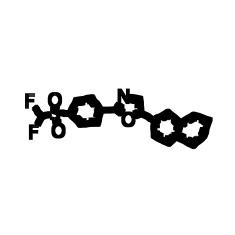 O=S(=O)(c1ccc(-c2ncc(-c3ccc4ccccc4c3)o2)cc1)C(F)F